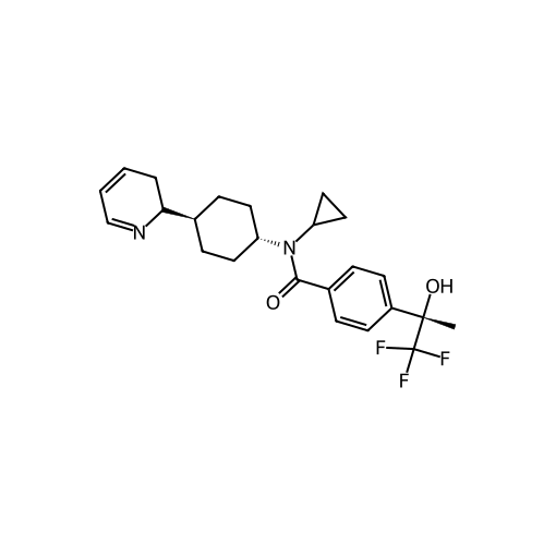 C[C@](O)(c1ccc(C(=O)N(C2CC2)[C@H]2CC[C@H](C3CC=CC=N3)CC2)cc1)C(F)(F)F